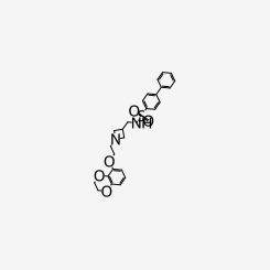 O=S(=O)(NCC1CN(CCOc2cccc3c2OCCO3)C1)c1ccc(-c2ccccc2)cc1